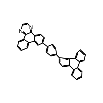 c1ccc2c(c1)c1ccccc1c1cc(-c3ccc(-c4ccc5c(c4)c4ccccc4c4nccnc54)cc3)ccc21